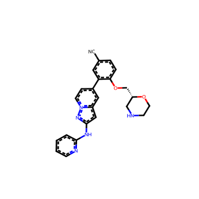 N#Cc1ccc(OC[C@H]2CNCCO2)c(-c2ccn3nc(Nc4ccccn4)cc3c2)c1